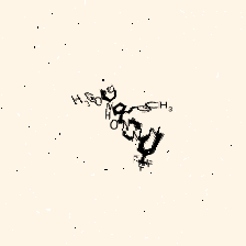 COCC[C@]1(C(=O)N2CCN(c3cc(C(F)(F)F)ccn3)CC2)CC[C@@H](NC2CCOCC2OC)C1